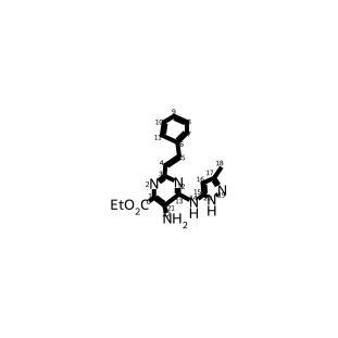 CCOC(=O)c1nc(/C=C/c2ccccc2)nc(Nc2cc(C)n[nH]2)c1N